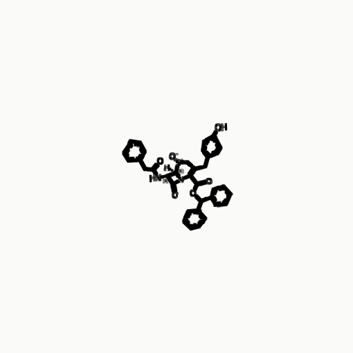 O=C(Cc1ccccc1)N[C@@H]1C(=O)N2C(C(=O)OC(c3ccccc3)c3ccccc3)=C(Cc3ccc(O)cc3)C[S+]([O-])[C@H]12